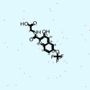 O=C(O)CNC(=O)c1nc2ccc(OC(F)(F)F)cc2cc1O